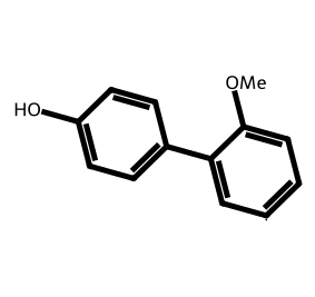 COc1cc[c]cc1-c1ccc(O)cc1